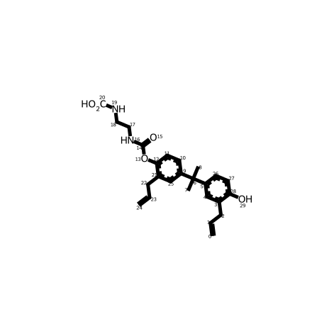 C=CCc1cc(C(C)(C)c2ccc(OC(=O)NCCNC(=O)O)c(CC=C)c2)ccc1O